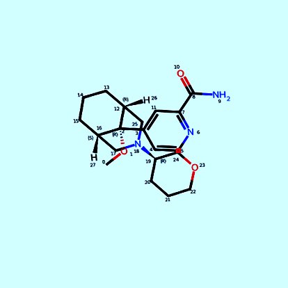 CO[C@@]1(c2ccnc(C(N)=O)c2)[C@@H]2CCC[C@H]1CN([C@@H]1CCCOC1)C2